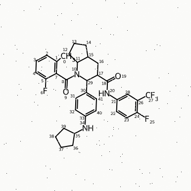 Cc1cccc(F)c1C(=O)N1C2CCCC2CC(C(=O)Nc2ccc(F)c(C(F)(F)F)c2)C1c1ccc(NC2CCCC2)cc1